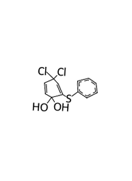 OC1(O)C=CC(Cl)(Cl)C=C1Sc1ccccc1